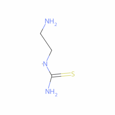 NCC[N]C(N)=S